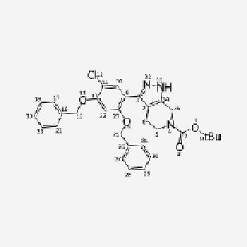 CC(C)(C)OC(=O)N1CCc2c(-c3cc(Cl)c(OCc4ccccc4)cc3OCc3ccccc3)n[nH]c2C1